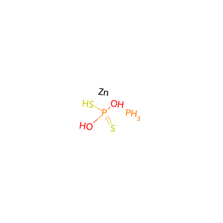 OP(O)(=S)S.P.[Zn]